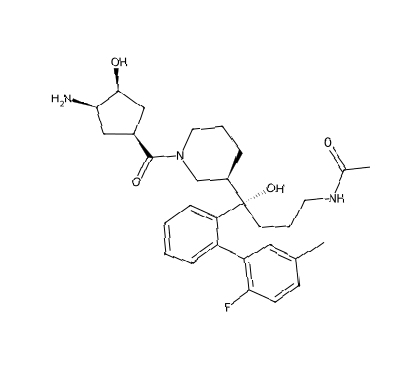 CC(=O)NCCC[C@@](O)(c1ccccc1-c1cc(C)ccc1F)[C@@H]1CCCN(C(=O)[C@H]2C[C@@H](N)[C@@H](O)C2)C1